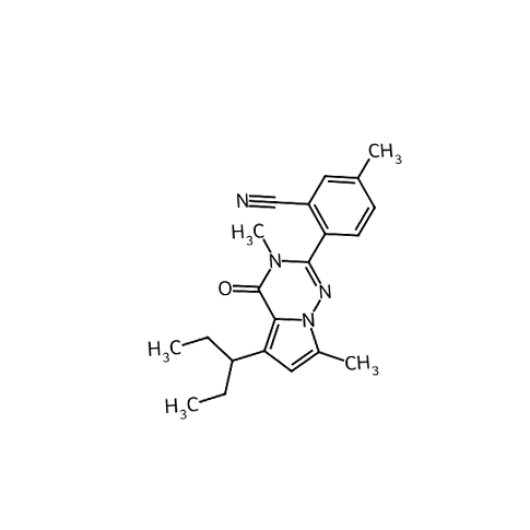 CCC(CC)c1cc(C)n2nc(-c3ccc(C)cc3C#N)n(C)c(=O)c12